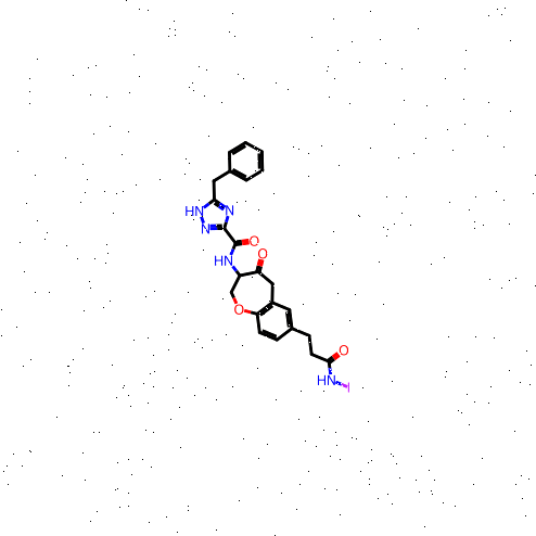 O=C(CCc1ccc2c(c1)CC(=O)C(NC(=O)c1n[nH]c(Cc3ccccc3)n1)CO2)NI